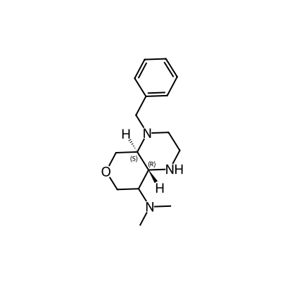 CN(C)C1COC[C@@H]2[C@@H]1NCCN2Cc1ccccc1